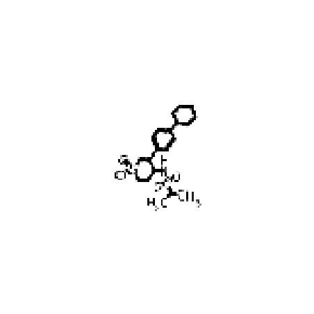 CC(C)S(=O)(=O)NC1CCS(=O)(=O)CC1c1ccc(C2CCCCC2)cc1